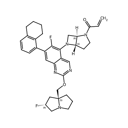 C=CC(=O)N1CC[C@H]2[C@H]1CN2c1c(F)c(-c2cccc3c2CCCC3)cc2nc(OC[C@@]34CCCN3C[C@H](F)C4)ncc12